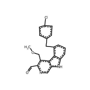 COCc1c(C=O)ncc2[nH]c3cccc(Cc4ccc(Cl)cc4)c3c12